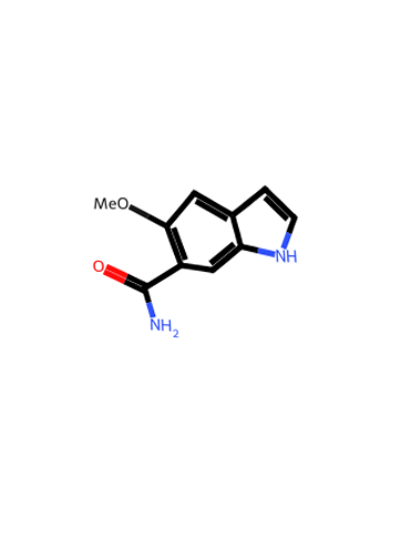 COc1cc2cc[nH]c2cc1C(N)=O